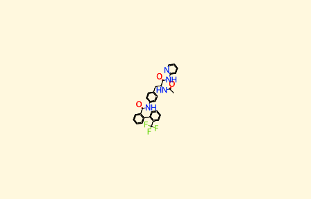 CC(=O)NC(Cc1ccc(NC(=O)c2ccccc2-c2ccccc2C(F)(F)F)cc1)C(=O)Nc1ccccn1